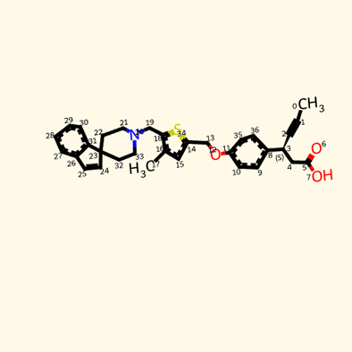 CC#C[C@@H](CC(=O)O)c1ccc(OCc2cc(C)c(CN3CCC4(C=Cc5ccccc54)CC3)s2)cc1